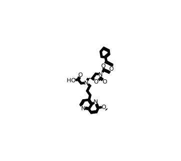 COc1ccc2nccc(CCCN(CC(=O)O)C[C@@H]3CN(C4=COC=C(C5=CC=CCC5)O4)C(=O)O3)c2n1